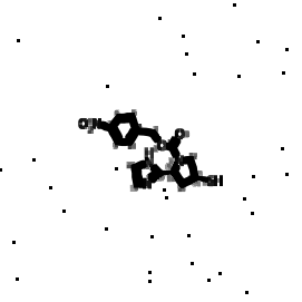 O=C(OCc1ccc([N+](=O)[O-])cc1)N1C[C@@H](S)C[C@H]1c1ncc[nH]1